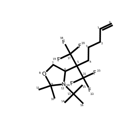 C=CCCCC(C1COC(C)(C)N1C(C)(C)C)(C(F)(F)F)C(F)(F)F